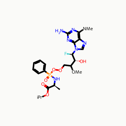 CNc1nc(N)nc2c1ncn2[C@H](F)[C@H](O)C(COOP(=O)(N[C@@H](C)C(=O)OC(C)C)c1ccccc1)OC